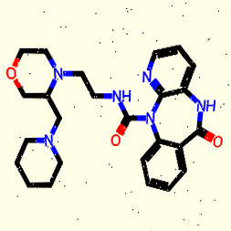 O=C1Nc2cccnc2N(C(=O)NCCN2CCOCC2CN2CCCCC2)c2ccccc21